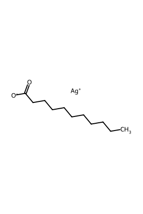 CCCCCCCCCCC(=O)[O-].[Ag+]